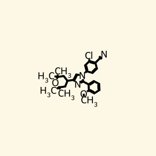 COc1ccccc1-c1nc(C2CC(C)(C)OC(C)(C)C2)cn1-c1ccc(C#N)c(Cl)c1